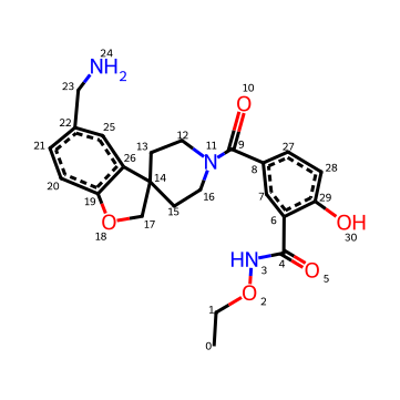 CCONC(=O)c1cc(C(=O)N2CCC3(CC2)COc2ccc(CN)cc23)ccc1O